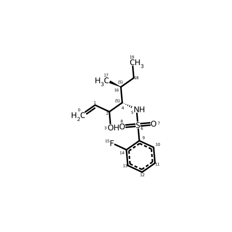 C=CC(O)[C@@H](NS(=O)(=O)c1ccccc1F)[C@@H](C)CC